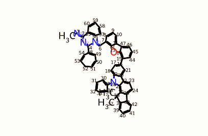 C\N=C(/N=C(\N=C\c1cccc2c1oc1c(-c3ccc4c(c3)c3ccc5c(c3n4-c3ccccc3)C(C)(C)c3ccccc3-5)cccc12)C1=CC=CCC=C1)c1ccccc1